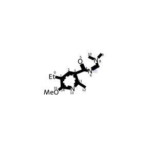 CCc1cc(C(=O)/N=C\N(C)C)c(C)nc1OC